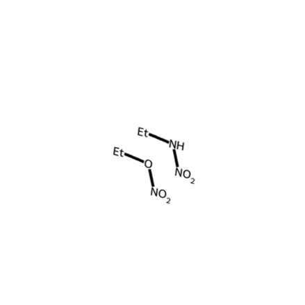 CCN[N+](=O)[O-].CCO[N+](=O)[O-]